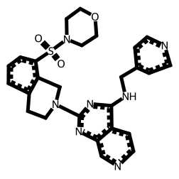 O=S(=O)(c1cccc2c1CN(c1nc(NCc3ccncc3)c3ccncc3n1)CC2)N1CCOCC1